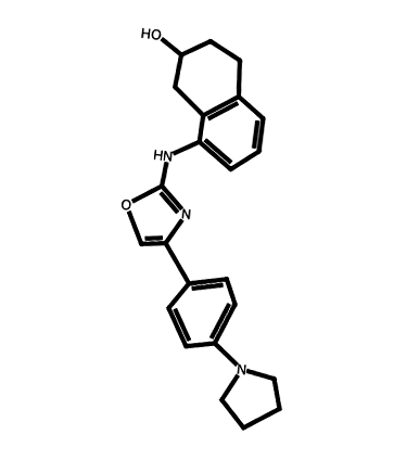 OC1CCc2cccc(Nc3nc(-c4ccc(N5CCCC5)cc4)co3)c2C1